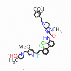 COc1cc(/C(F)=C/c2cccc(-c3cccc(NC(=O)c4nc5c(n4C)CCN(CCC46CCC(C(=O)O)(CC4)C6)C5)c3Cl)c2Cl)ncc1CN1CCC(C)(O)C1